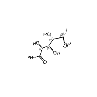 [2H]C(=O)[C@@H](O)[C@H](O)[C@H](O)[C@H](C)O